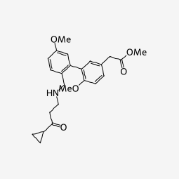 COC(=O)Cc1ccc(OC)c(-c2cc(OC)ccc2CNCCC(=O)C2CC2)c1